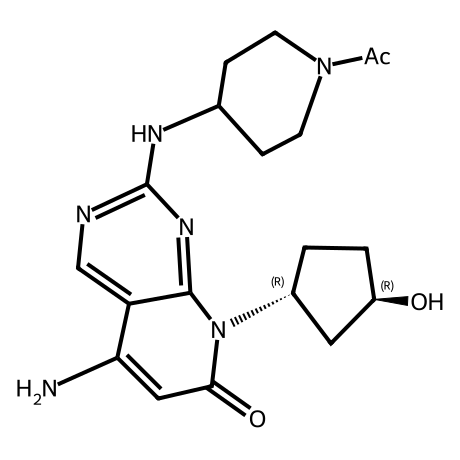 CC(=O)N1CCC(Nc2ncc3c(N)cc(=O)n([C@@H]4CC[C@@H](O)C4)c3n2)CC1